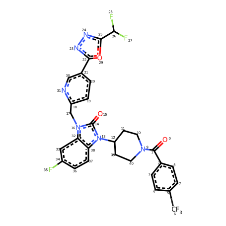 O=C(c1ccc(C(F)(F)F)cc1)N1CCC(n2c(=O)n(Cc3ccc(-c4nnc(C(F)F)o4)cn3)c3cc(F)ccc32)CC1